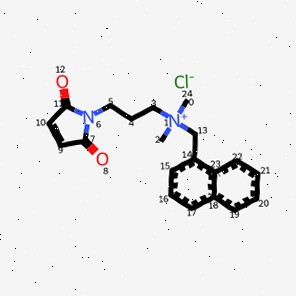 C[N+](C)(CCCN1C(=O)C=CC1=O)Cc1cccc2ccccc12.[Cl-]